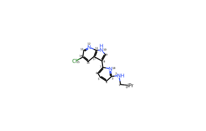 CC(C)CNc1cccc(-c2c[nH]c3ncc(Cl)cc23)n1